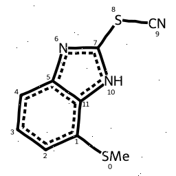 CSc1cccc2nc(SC#N)[nH]c12